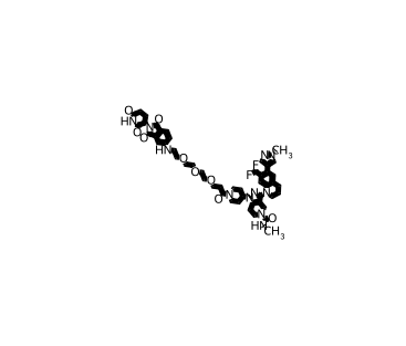 CNC(=O)N1CCc2c(c(N3CCCc4cc(-c5cnn(C)c5)c(C(F)F)cc43)nn2C2CCN(C(=O)CCOCCOCCOCCNc3ccc4c(c3)C(=O)N(C3CCC(=O)NC3=O)C4=O)CC2)C1